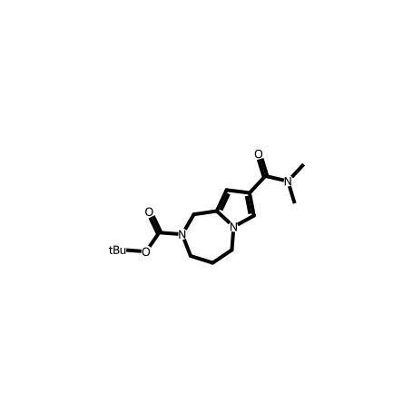 CN(C)C(=O)c1cc2n(c1)CCCN(C(=O)OC(C)(C)C)C2